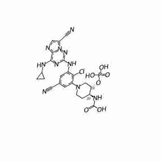 N#Cc1cc(Nc2nc(NC3CC3)c3ncc(C#N)n3n2)c(Cl)c(N2CC[C@H](NC(=O)O)[C@@H](OP(=O)(O)O)C2)c1